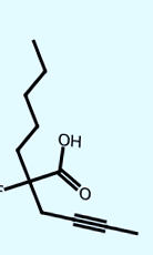 CC#CCC(F)(CCCCC)C(=O)O